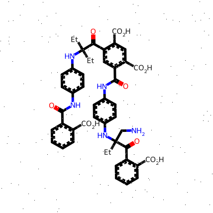 CCC(CC)(Nc1ccc(NC(=O)c2ccccc2C(=O)O)cc1)C(=O)c1cc(C(=O)Nc2ccc(NC(CC)(CN)C(=O)c3ccccc3C(=O)O)cc2)c(C(=O)O)cc1C(=O)O